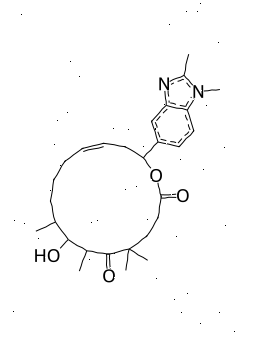 Cc1nc2cc(C3CC=CCCCC(C)C(O)C(C)C(=O)C(C)(C)CCC(=O)O3)ccc2n1C